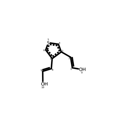 OC=Cc1cscc1C=CO